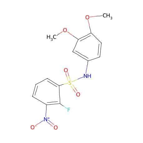 COc1ccc(NS(=O)(=O)c2cccc([N+](=O)[O-])c2F)cc1OC